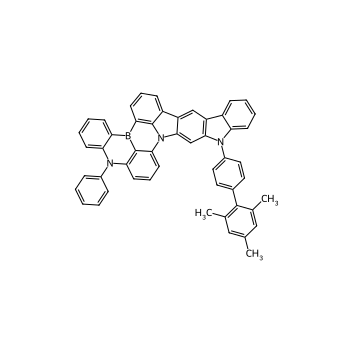 Cc1cc(C)c(-c2ccc(-n3c4ccccc4c4cc5c6cccc7c6n(c5cc43)-c3cccc4c3B7c3ccccc3N4c3ccccc3)cc2)c(C)c1